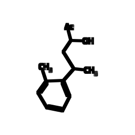 CC(=O)C(O)CC(C)c1ccccc1C